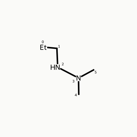 CCCNN(C)C